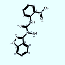 O=C(Nc1ccccc1[N+](=O)[O-])N(S)c1noc2ccccc12